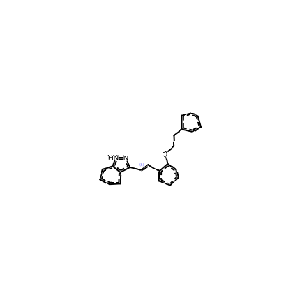 C(=C\c1n[nH]c2ccccc12)/c1ccccc1OCCc1ccccc1